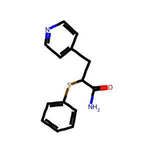 NC(=O)C(Cc1ccncc1)Sc1cc[c]cc1